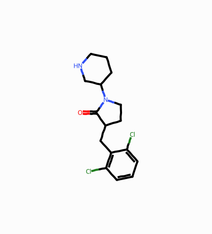 O=C1C(Cc2c(Cl)cccc2Cl)CCN1C1CCCNC1